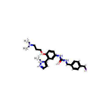 CN(C)CCCOc1ccc(NC(=O)NCc2ccc(CI)cc2)cc1-c1ccnn1C